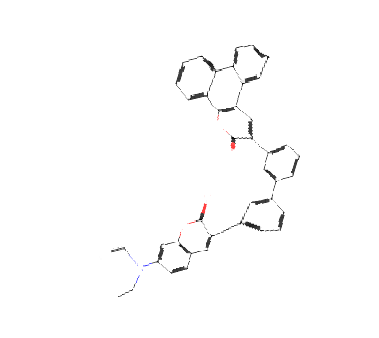 CCN(CC)c1ccc2cc(-c3cccc(-c4cccc(-c5cc6c7ccccc7c7ccccc7c6oc5=O)c4)c3)c(=O)oc2c1